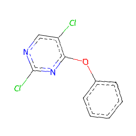 Clc1ncc(Cl)c(Oc2ccccc2)n1